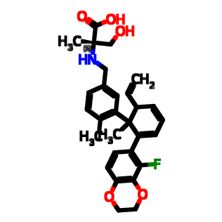 C=CC1C=CC=C(c2ccc3c(c2F)OCCO3)C1(C)c1cc(CN[C@@](C)(CO)C(=O)O)ccc1C